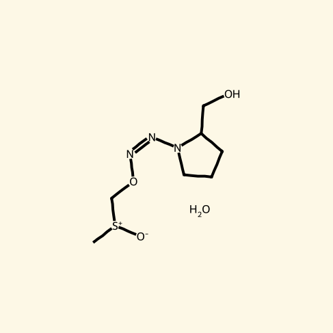 C[S+]([O-])CO/N=N\N1CCCC1CO.O